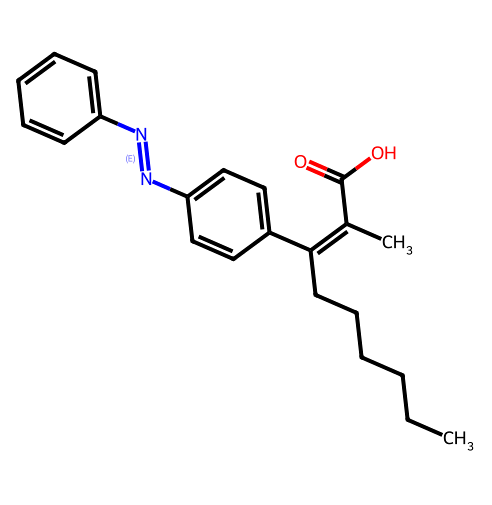 CCCCCCC(=C(C)C(=O)O)c1ccc(/N=N/c2ccccc2)cc1